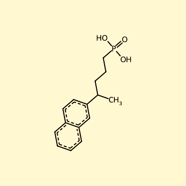 CC(CCCP(=O)(O)O)c1ccc2ccccc2c1